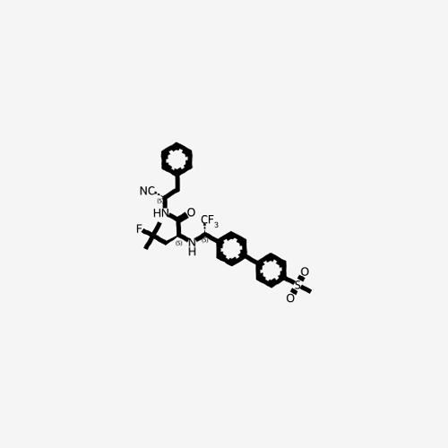 CC(C)(F)C[C@H](N[C@@H](c1ccc(-c2ccc(S(C)(=O)=O)cc2)cc1)C(F)(F)F)C(=O)N[C@H](C#N)Cc1ccccc1